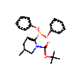 CC1CC=C(P(Oc2ccccc2)Oc2ccccc2)N(C(=O)OC(C)(C)C)C1